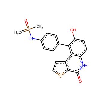 C=S(C)(=O)Nc1ccc(-c2c(O)ccc3[nH]c(=O)c4sccc4c23)cc1